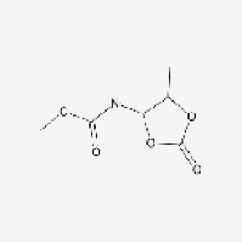 COC(=O)[N]C1OC(=O)OC1C